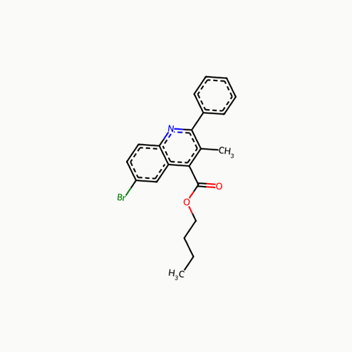 CCCCOC(=O)c1c(C)c(-c2ccccc2)nc2ccc(Br)cc12